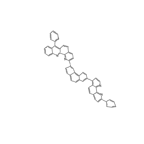 c1ccc(-c2ccc3ccc4c(-c5ccc6c(ccc7ccc(-c8ccc9ccc%10c(-c%11ccccc%11)c%11ccccc%11nc%10c9n8)cc76)c5)ccnc4c3n2)cc1